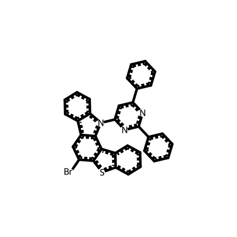 Brc1cc2c3ccccc3n(-c3cc(-c4ccccc4)nc(-c4ccccc4)n3)c2c2c1sc1ccccc12